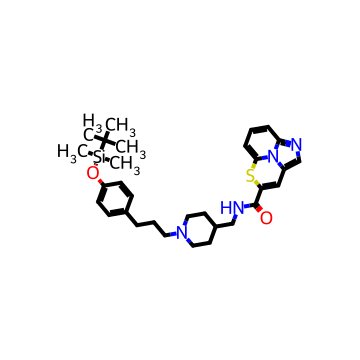 CC(C)(C)[Si](C)(C)Oc1ccc(CCCN2CCC(CNC(=O)C3=Cc4cnc5cccc(n45)S3)CC2)cc1